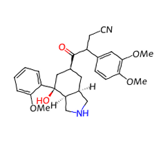 COc1ccc(C(CC#N)C(=O)[C@H]2C[C@H]3CNC[C@H]3[C@](O)(c3ccccc3OC)C2)cc1OC